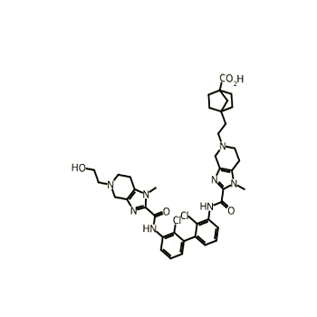 Cn1c(C(=O)Nc2cccc(-c3cccc(NC(=O)c4nc5c(n4C)CCN(CCC46CCC(C(=O)O)(CC4)C6)C5)c3Cl)c2Cl)nc2c1CCN(CCO)C2